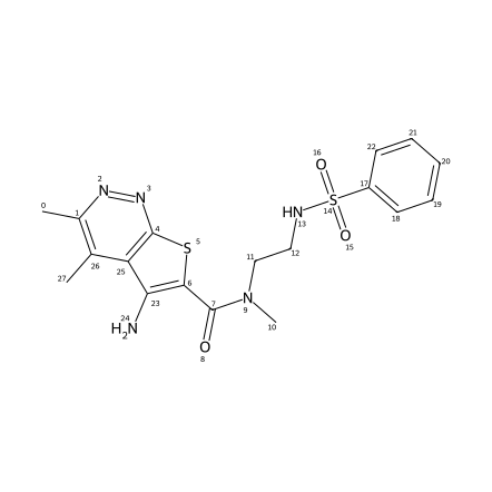 Cc1nnc2sc(C(=O)N(C)CCNS(=O)(=O)c3ccccc3)c(N)c2c1C